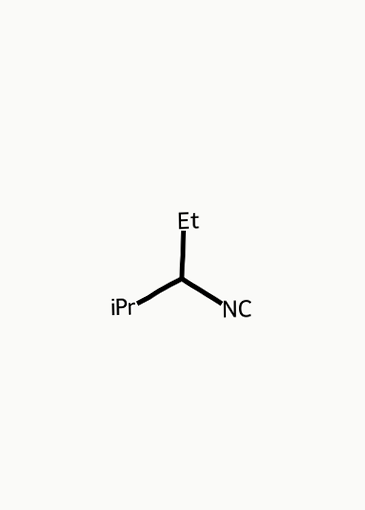 [C-]#[N+]C(CC)C(C)C